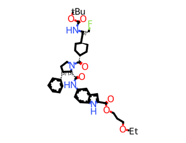 CCOCCCOC(=O)c1cc2cc(NC(=O)[C@@H]3[C@H](c4ccccc4)CCN3C(=O)[C@H]3CC[C@H]([C@@H](CF)NC(=O)OC(C)(C)C)CC3)ccc2[nH]1